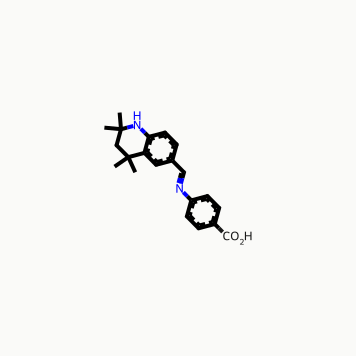 CC1(C)CC(C)(C)c2cc(C=Nc3ccc(C(=O)O)cc3)ccc2N1